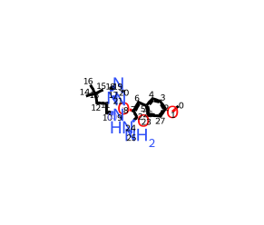 COc1ccc(C=C(O/N=C\C(CC(C)(C)C)n2cncn2)C(=O)NN)cc1